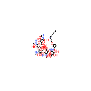 CCCCCC/C=C\CCCOc1cccc(C(=O)N[C@@H]2C(O[C@@H]3C(CO)O[C@@H](OC4C(CO)O[C@@H](O[C@@H]5C(CO)OC(OC6C(CO)OC(O)[C@@H](NC(C)=O)[C@H]6O)C(NC(C)=O)C5O)[C@@H](NC(C)=O)[C@H]4O)C(NC(C)=O)C3O)OC(CO)[C@@H](O)[C@@H]2O)c1